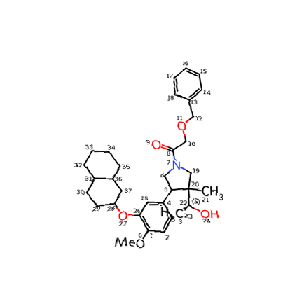 COc1ccc(C2CN(C(=O)COCc3ccccc3)CC2(C)[C@H](C)O)cc1OC1CCC2CCCCC2C1